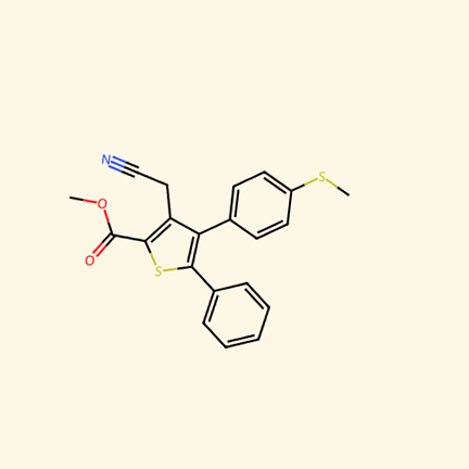 COC(=O)c1sc(-c2ccccc2)c(-c2ccc(SC)cc2)c1CC#N